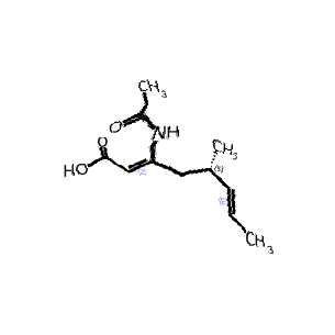 C/C=C/[C@@H](C)C/C(=C/C(=O)O)NC(C)=O